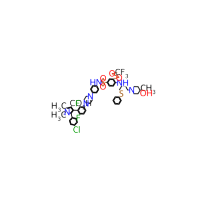 Cc1c(C(=O)O)c(-c2c(F)ccc(N3CCN(c4ccc(NS(=O)(=O)c5ccc(N[C@H](CCN6CCC(C)(O)CC6)CSc6ccccc6)c(S(=O)(=O)C(F)(F)F)c5)cc4)CC3)c2F)c(-c2ccc(Cl)cc2)n1C